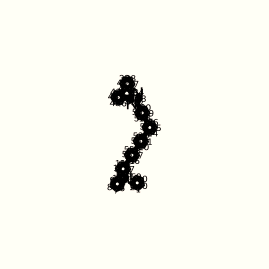 c1ccc(-n2c3ccccc3c3ccc(-c4ccc(-c5ccc(-c6cccc(-c7ccc(-c8cnc9c%10ccccc%10c%10ccccc%10c9n8)cc7)c6)cc5)cc4)cc32)cc1